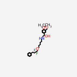 CC1(C)OCc2cc(C(O)CNCCCCCCOCC(F)(F)CCc3ccccc3)ccc2O1